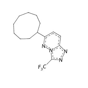 FC(F)(F)c1nnc2ccc(C3CCCCCCCC3)nn12